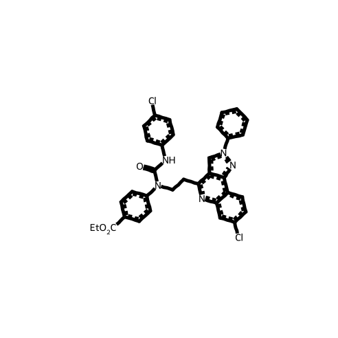 CCOC(=O)c1ccc(N(CCc2nc3cc(Cl)ccc3c3nn(-c4ccccc4)cc23)C(=O)Nc2ccc(Cl)cc2)cc1